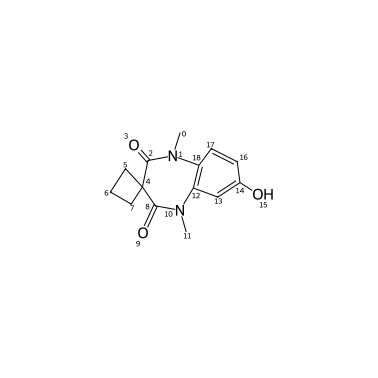 CN1C(=O)C2(CCC2)C(=O)N(C)c2cc(O)ccc21